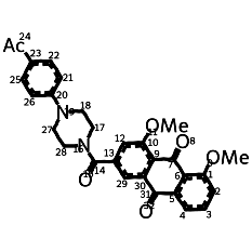 COc1cccc2c1C(=O)c1c(OC)cc(C(=O)N3CCN(c4ccc(C(C)=O)cc4)CC3)cc1C2=O